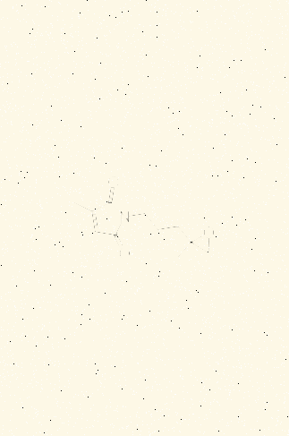 CC1=CC(=O)N(CCCC2(C)CO2)C1=O